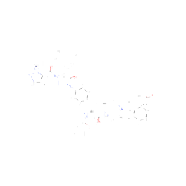 CCC(=O)N[C@H](Cc1ccc(NC(=O)[C@@H](NC(=O)c2ccnn2C)C2CCCCC2)cc1)C(=O)N1CCN(Cc2ccccc2CO)CC1